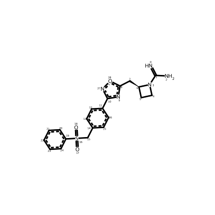 N=C(N)N1CC[C@H]1Cc1nc(-c2ccc(CS(=O)(=O)c3ccccc3)cc2)no1